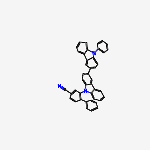 N#Cc1ccc(-c2ccccc2)c(-n2c3ccccc3c3cc(-c4ccc5c(c4)c4ccccc4n5-c4ccccc4)ccc32)c1